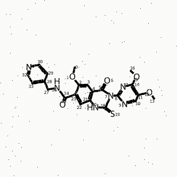 COc1cc2c(=O)n(-c3ncc(OC)c(OC)n3)c(=S)[nH]c2cc1C(=O)NCc1ccncc1